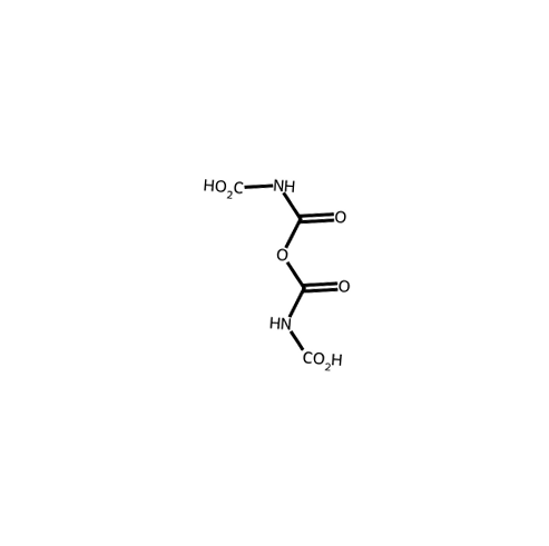 O=C(O)NC(=O)OC(=O)NC(=O)O